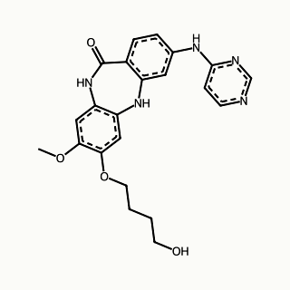 COc1cc2c(cc1OCCCCO)Nc1cc(Nc3ccncn3)ccc1C(=O)N2